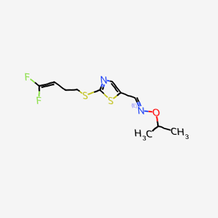 CC(C)O/N=C/c1cnc(SCCC=C(F)F)s1